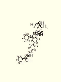 CC(C)(O)CCS(=O)(=O)NC(=O)c1ccc(-c2ccc(CCNC[C@H](O)c3ccccc3)cc2)cc1OC1CCCCC1